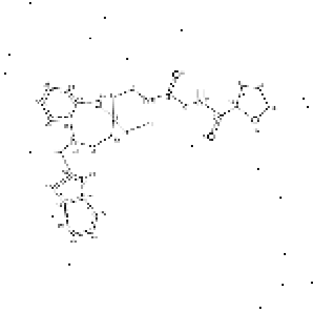 O=C(NCC(=O)N1CCC2(CC1)CCN(Cc1cc3ccccc3o1)c1ccccc1O2)C1CCCO1